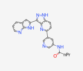 CCCC(=O)Nc1cncc(-c2ccc3[nH]nc(-c4cc5cccnc5[nH]4)c3n2)c1